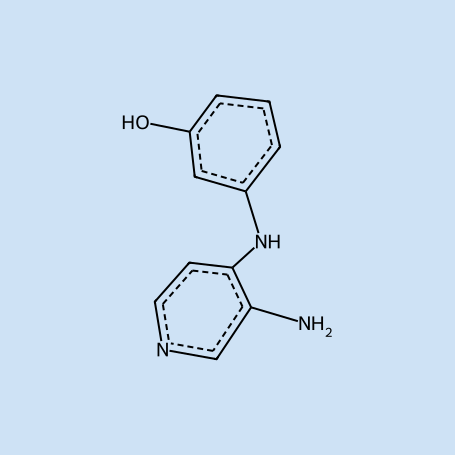 Nc1cnccc1Nc1cccc(O)c1